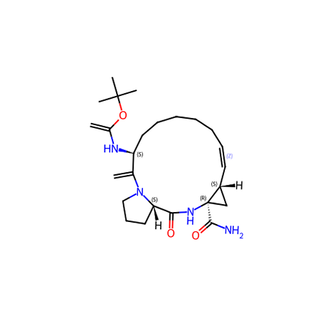 C=C(N[C@H]1CCCCC/C=C\[C@@H]2C[C@@]2(C(N)=O)NC(=O)[C@@H]2CCCN2C1=C)OC(C)(C)C